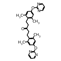 Cc1cc(Oc2ncccn2)cc(C)c1CCC(=O)CCc1c(C)cc(Oc2ncccn2)cc1C